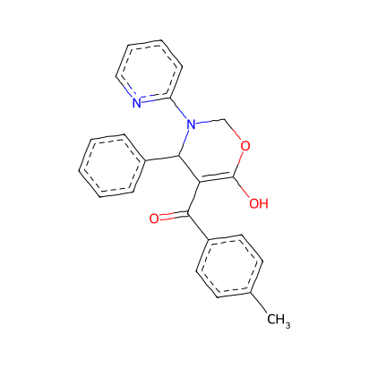 Cc1ccc(C(=O)C2=C(O)OCN(c3ccccn3)C2c2ccccc2)cc1